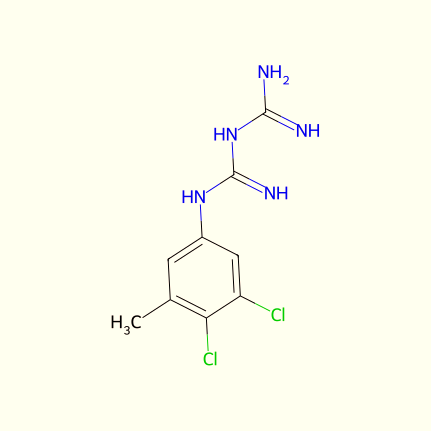 Cc1cc(NC(=N)NC(=N)N)cc(Cl)c1Cl